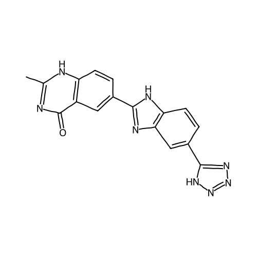 Cc1nc(=O)c2cc(-c3nc4cc(-c5nnn[nH]5)ccc4[nH]3)ccc2[nH]1